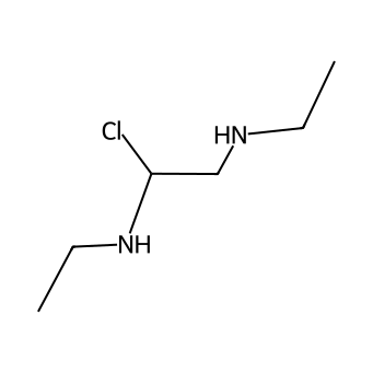 CCNCC(Cl)NCC